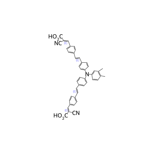 Cc1ccc(N(c2ccc(/C=C/c3ccc(/C=C(\C#N)C(=O)O)cc3)cc2)c2ccc(/C=C/c3ccc(/C=C(\C#N)C(=O)O)cc3)cc2)cc1C